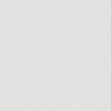 c1ccc(COCc2ccccc2OCc2ccccc2)cc1